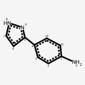 Nc1ccc(-c2cc[nH]n2)cc1